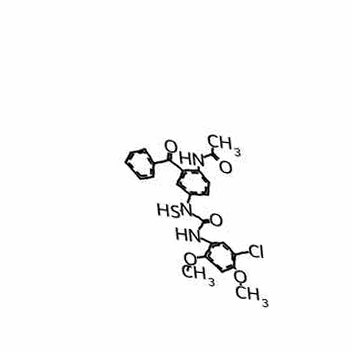 COc1cc(OC)c(NC(=O)N(S)c2ccc(NC(C)=O)c(C(=O)c3ccccc3)c2)cc1Cl